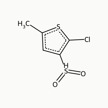 Cc1cc([SH](=O)=O)c(Cl)s1